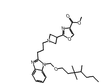 CCCC(C)C(C)(C)CCOCn1c(CCCN2CC(c3nc(C(=O)OC)co3)C2)nc2ccccc21